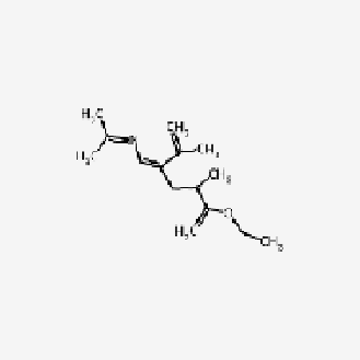 C=C(C)/C(=C\N=C(C)C)CC(C)C(=C)OCC